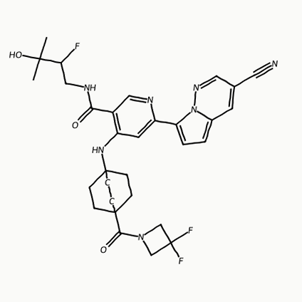 CC(C)(O)C(F)CNC(=O)c1cnc(-c2ccc3cc(C#N)cnn23)cc1NC12CCC(C(=O)N3CC(F)(F)C3)(CC1)CC2